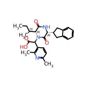 CC[C@H](C)[C@@H]1C(=O)N[C@H](C2Cc3ccccc3C2)C(=O)N1C(C(=O)O)c1ccc(C)nc1C